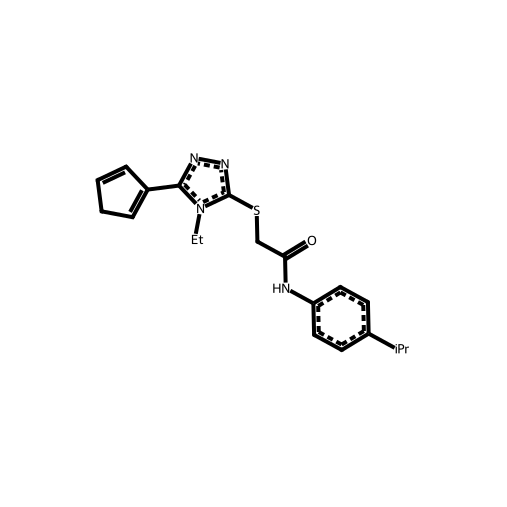 CCn1c(SCC(=O)Nc2ccc(C(C)C)cc2)nnc1C1=CCC=C1